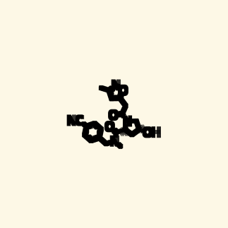 Cc1cc(CC(=O)N2C[C@H](O)C[C@H]2C(=O)N(C)Cc2ccc(C#N)cc2)on1